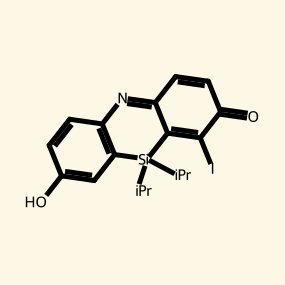 CC(C)[Si]1(C(C)C)C2=C(I)C(=O)C=CC2=Nc2ccc(O)cc21